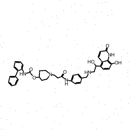 O=C(CCN1CCC(OC(=O)Nc2ccccc2-c2ccccc2)CC1)Nc1ccc(CNCC(O)c2ccc(O)c3[nH]c(=O)ccc23)cc1